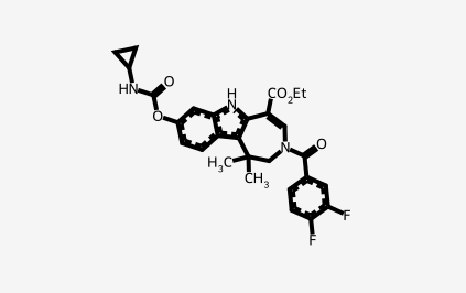 CCOC(=O)C1=CN(C(=O)c2ccc(F)c(F)c2)CC(C)(C)c2c1[nH]c1cc(OC(=O)NC3CC3)ccc21